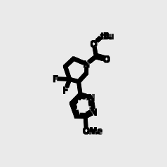 COc1ccc(C2CN(C(=O)OC(C)(C)C)CCC2(F)F)nn1